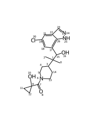 CC(C)(C1CCN(C(=O)C2(O)CC2)CC1)C(O)c1cc(Cl)cc2cn[nH]c12